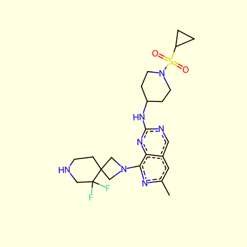 Cc1cc2cnc(NC3CCN(S(=O)(=O)C4CC4)CC3)nc2c(N2CC3(CCNCC3(F)F)C2)n1